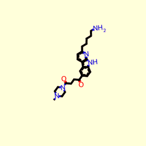 CN1CCN(C(=O)CCC(=O)c2ccc3[nH]c4nc(CCCCCN)ccc4c3c2)CC1